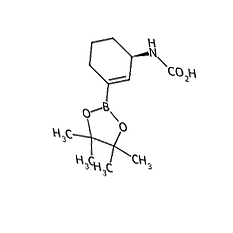 CC1(C)OB(C2=C[C@H](NC(=O)O)CCC2)OC1(C)C